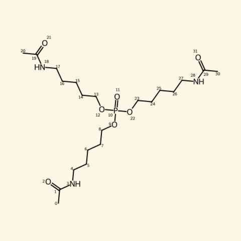 CC(=O)NCCCCCOP(=O)(OCCCCCNC(C)=O)OCCCCCNC(C)=O